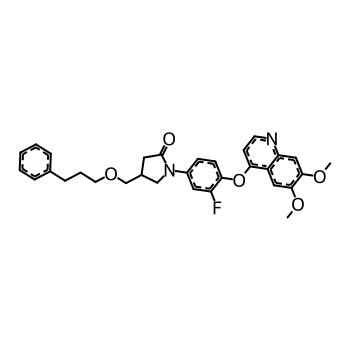 COc1cc2nccc(Oc3ccc(N4CC(COCCCc5ccccc5)CC4=O)cc3F)c2cc1OC